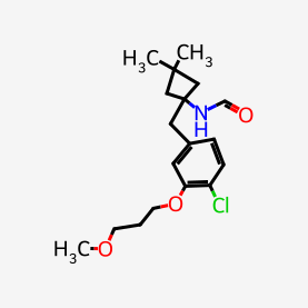 COCCCOc1cc(CC2(NC=O)CC(C)(C)C2)ccc1Cl